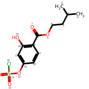 CC(C)CCOC(=O)c1ccc(OS(=O)(=O)Cl)cc1O